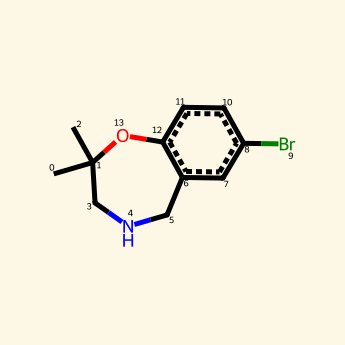 CC1(C)CNCc2cc(Br)ccc2O1